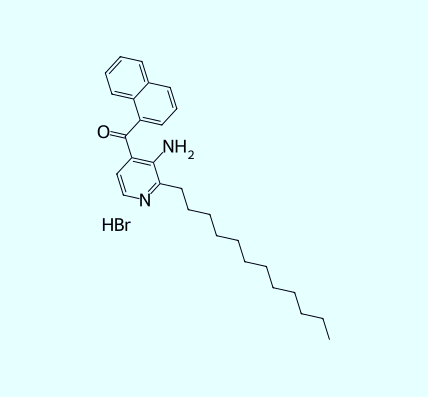 Br.CCCCCCCCCCCCc1nccc(C(=O)c2cccc3ccccc23)c1N